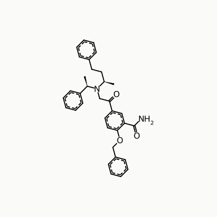 C[C@H](CCc1ccccc1)N(CC(=O)c1ccc(OCc2ccccc2)c(C(N)=O)c1)[C@H](C)c1ccccc1